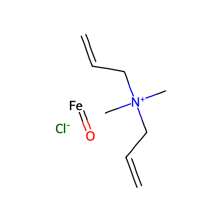 C=CC[N+](C)(C)CC=C.[Cl-].[O]=[Fe]